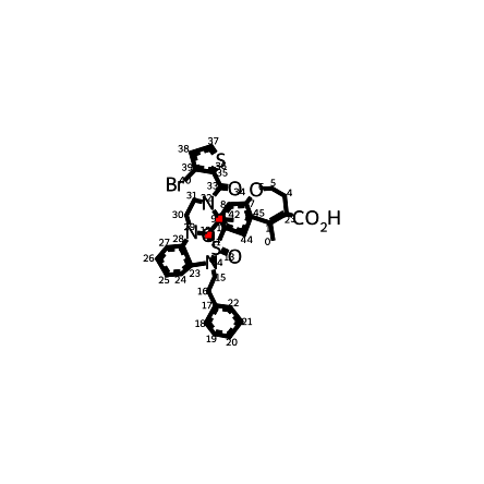 CC1=C(C(=O)O)CCOc2ccc(S(=O)(=O)N(CCc3ccccc3)c3ccccc3N3CCN(C(=O)c4sccc4Br)C(C)C3)cc21